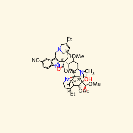 CCC1=C[C@H]2CN(C1)Cc1c([nH]c3ccc(C#N)cc13)[C@@](C(=O)OC)(C1C=C3C(=CC1OC)N(C)[C@H]1[C@@](O)(C(=O)OC)[C@H](OC(C)=O)C4[C@@H](CC)CCN5CC[C@]31[C@H]45)C2